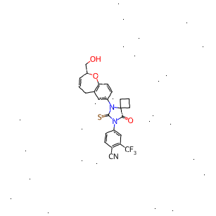 N#Cc1ccc(N2C(=O)C3(CCC3)N(c3ccc4c(c3)CC=CC(CO)O4)C2=S)cc1C(F)(F)F